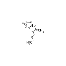 CCCCCC(C)CN1CC2CC2C1